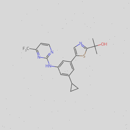 CC(C)(O)c1ncc(-c2cc(Nc3nccc(C(F)(F)F)n3)cc(C3CC3)c2)s1